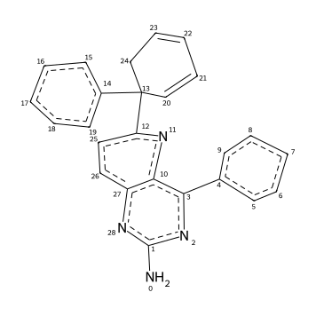 Nc1nc(-c2ccccc2)c2nc(C3(c4ccccc4)C=CC=CC3)ccc2n1